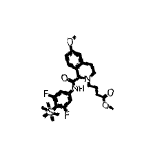 COC(=O)CCCN1CCc2cc(OC)ccc2C1C(=O)Nc1cc(F)c(S(C)(C)(C)(C)C)c(F)c1